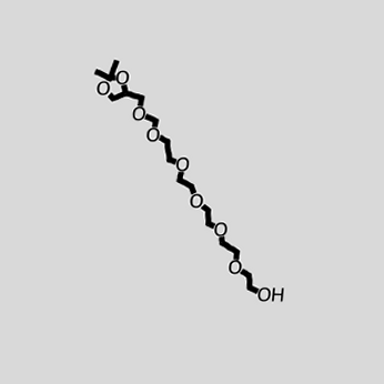 CC1(C)OCC(COCOCCOCCOCCOCCOCCO)O1